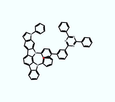 c1ccc(-c2nc(-c3ccccc3)nc(-c3cccc(-c4ccc(-n5c6cc7c(ccn7-c7ccccc7)cc6c6ccc7c8ccccc8n(-c8ccccc8)c7c65)cc4)c3)n2)cc1